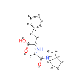 CC(NC(CCc1ccccc1)C(=O)O)C(=O)N1CCC2CCCC21